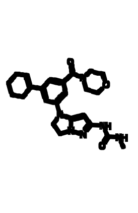 CNC(=O)Nc1cc2n(n1)CCN2c1cc(C(=O)N2CCOCC2)cc(C2=CCCCC2)c1